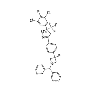 Fc1c(Cl)cc([C@@]2(C(F)(F)F)CC(c3ccc(C4(F)CN(C(c5ccccc5)c5ccccc5)C4)cc3)=NO2)cc1Cl